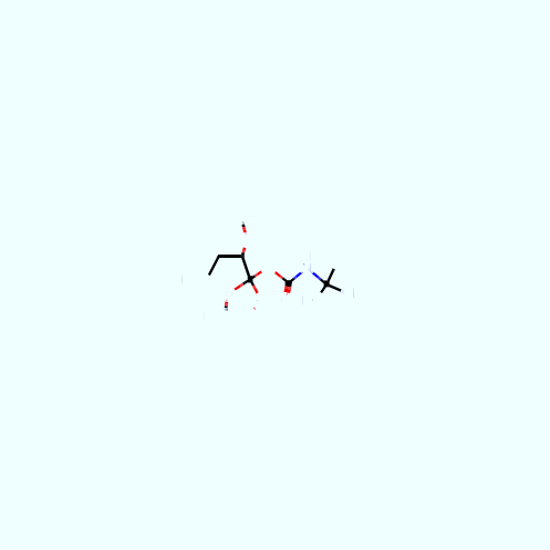 COC(C[SiH3])C(OC)(OC)OC(=O)NC(C)(C)C